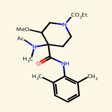 CCOC(=O)N1CCC(C(=O)Nc2c(C)cccc2C)(N(C)C(C)=O)C(OC)C1